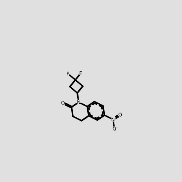 O=C1CCc2cc([N+](=O)[O-])ccc2N1C1CC(F)(F)C1